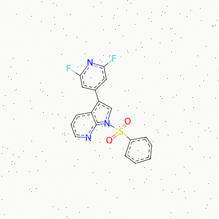 O=S(=O)(c1ccccc1)n1cc(-c2cc(F)nc(F)c2)c2cccnc21